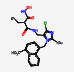 CCCCc1nc(Cl)c(CNC(=O)C(CC(C)C)C(=O)NO)n1Cc1ccc(C(=O)O)c2ccccc12